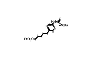 CCOC(=O)CCCCCC1=NN=C(NC(=O)OC(C)(C)C)SC1